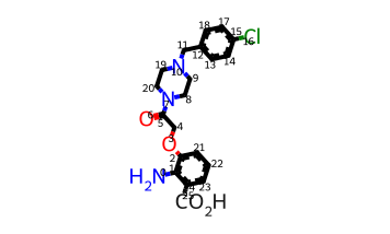 Nc1c(OCC(=O)N2CCN(Cc3ccc(Cl)cc3)CC2)cccc1C(=O)O